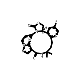 CC1(C)CCc2ncc(F)cc2[C@H]2COC(=O)N2c2ccn3ncc(c3n2)C(=O)N1